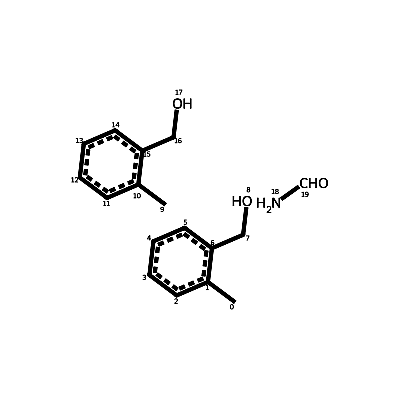 Cc1ccccc1CO.Cc1ccccc1CO.NC=O